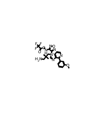 COc1cccc(-c2nccc3c2N=C[N+]3(CC(C)(C)CN)c2nonc2NOC(=O)C(F)(F)F)c1